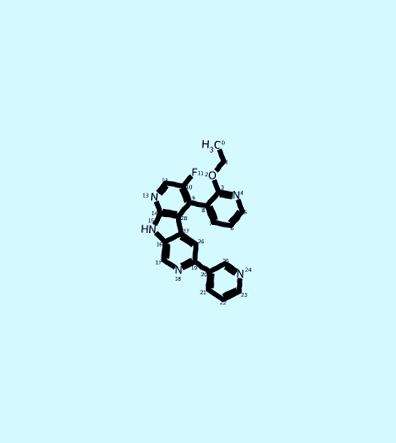 CCOc1ncccc1-c1c(F)cnc2[nH]c3cnc(-c4cccnc4)cc3c12